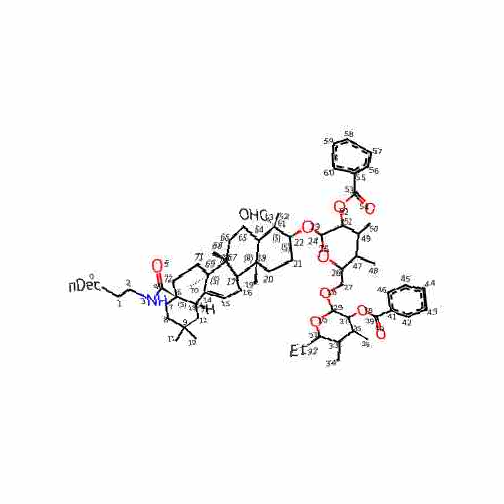 CCCCCCCCCCCCNC(=O)[C@]12CCC(C)(C)C[C@H]1C1=CCC3[C@@]4(C)CC[C@H](OC5OC(COC6OC(CC)C(C)C(C)C6OC(=O)c6ccccc6)C(C)C(C)C5OC(=O)c5ccccc5)[C@@](C)(C=O)C4CC[C@@]3(C)[C@]1(C)CC2